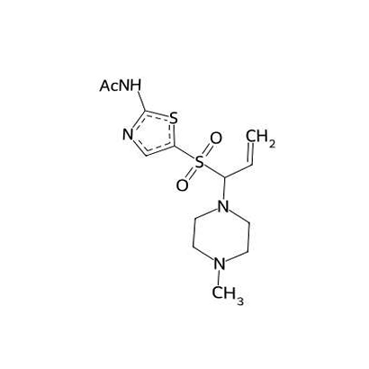 C=CC(N1CCN(C)CC1)S(=O)(=O)c1cnc(NC(C)=O)s1